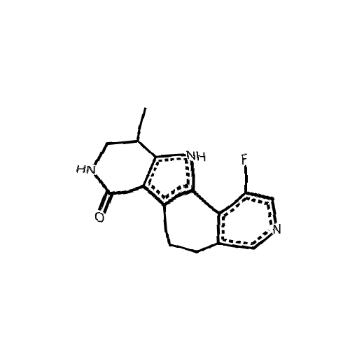 CC1CNC(=O)c2c1[nH]c1c2CCc2cncc(F)c2-1